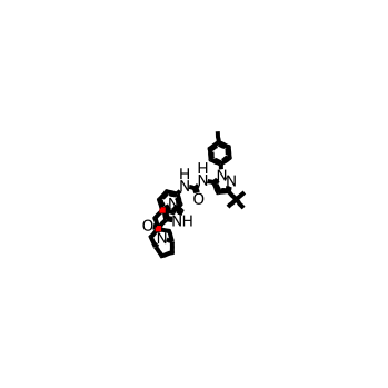 Cc1ccc(-n2nc(C(C)(C)C)cc2NC(=O)Nc2ccc(CC3CC4CCC(C3)N4C(=O)c3cnc[nH]3)cc2)cc1